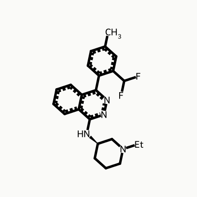 CCN1CCC[C@@H](Nc2nnc(-c3ccc(C)cc3C(F)F)c3ccccc23)C1